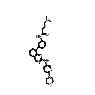 CN(C)CC=CC(=O)Nc1cccc(-c2cccc3cnc(Nc4ccc(N5CCOCC5)nc4)nc23)c1